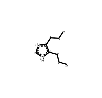 CCCc1nc[nH]c1CCC